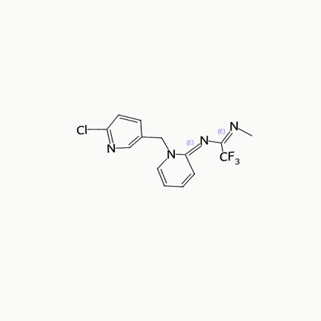 C/N=C(/N=c1\ccccn1Cc1ccc(Cl)nc1)C(F)(F)F